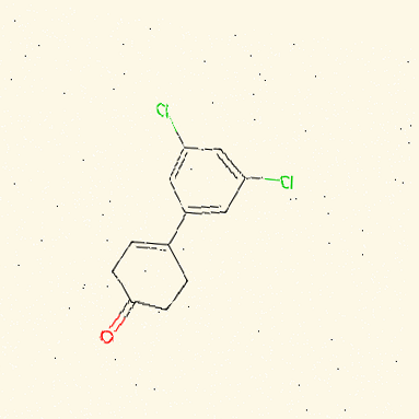 O=C1CC=C(c2cc(Cl)cc(Cl)c2)CC1